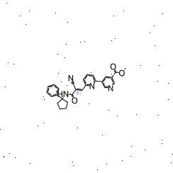 COC(=O)c1cncc(-c2cccc(/C=C(\C#N)C(=O)NC3(c4ccccc4)CCCC3)n2)c1